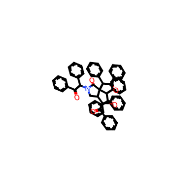 O=C(c1ccccc1)C(c1ccccc1)C1CN(C(C(=O)c2ccccc2)c2ccccc2)C(=O)C1(C(C(=O)c1ccccc1)c1ccccc1)C(C(=O)c1ccccc1)c1ccccc1